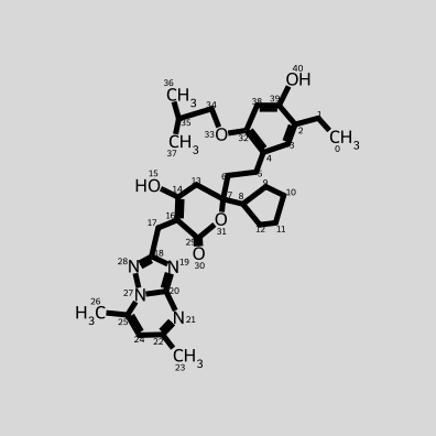 CCc1cc(CCC2(C3CCCC3)CC(O)=C(Cc3nc4nc(C)cc(C)n4n3)C(=O)O2)c(OCC(C)C)cc1O